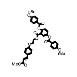 CCCCOc1ccc(C(=O)Oc2ccc(OC(=O)c3ccc(OCCCC)cc3)c(C(=O)OCCOc3ccc(/C=C/C(=O)OC)cc3)c2)cc1